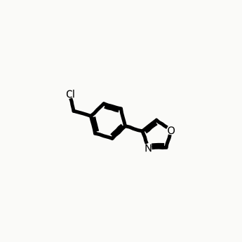 ClCc1ccc(-c2cocn2)cc1